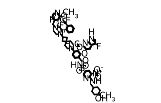 COc1cc(CN2CCN(C3CC4(CCN(c5ccc(C(=O)NS(=O)(=O)c6cnc(NCC7CCC(C)(O)CC7)c([N+](=O)[O-])c6)c(Oc6cc7c(F)c[nH]c7nc6OC)c5)CC4)C3)[C@H](c3ccccc3C(C)(F)F)C2)ccn1